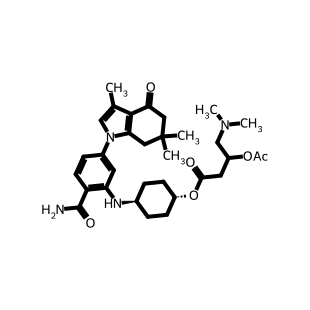 CC(=O)OC(CC(=O)O[C@H]1CC[C@H](Nc2cc(-n3cc(C)c4c3CC(C)(C)CC4=O)ccc2C(N)=O)CC1)CN(C)C